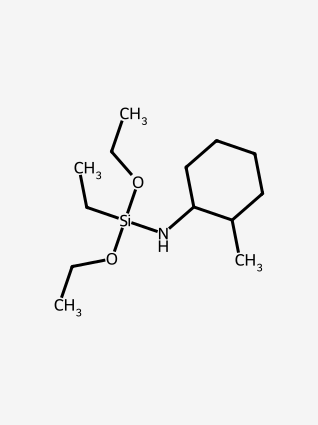 CCO[Si](CC)(NC1CCCCC1C)OCC